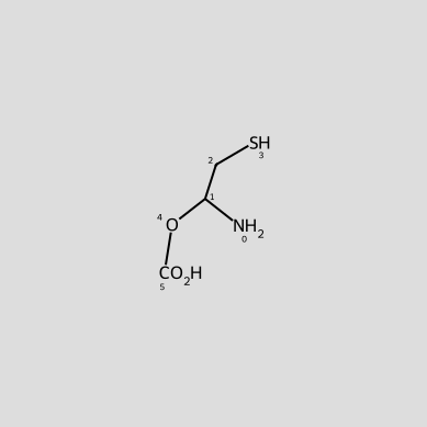 NC(CS)OC(=O)O